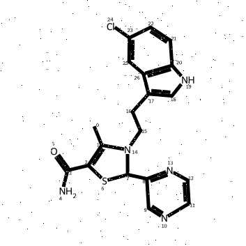 CC1=C(C(N)=O)SC(c2cnccn2)N1CCc1c[nH]c2ccc(Cl)cc12